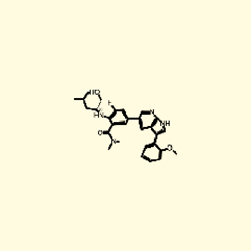 COc1ccccc1-c1c[nH]c2ncc(-c3cc(F)c(N[C@@H](CO)CC(C)C)c(C(=O)N(C)C)c3)cc12